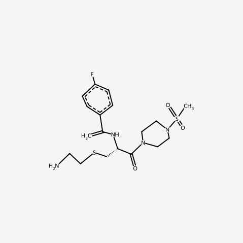 C=C(N[C@@H](CSCCN)C(=O)N1CCN(S(C)(=O)=O)CC1)c1ccc(F)cc1